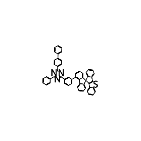 c1ccc(-c2ccc(-c3nc(-c4ccccc4)nc(-c4cccc(-c5cccc6c5-c5ccccc5C65c6ccccc6-c6sc7ccccc7c65)c4)n3)cc2)cc1